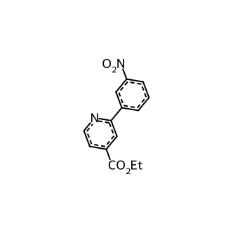 CCOC(=O)c1ccnc(-c2cccc([N+](=O)[O-])c2)c1